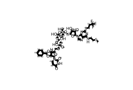 CSCCNc1nc(SCCC(F)(F)F)nc2c1ncn2[C@@H]1O[C@H](COP(=O)(O)OP(=O)(O)OP(=O)(O)OP(=O)(O)OC[C@H]2O[C@@H](n3ccc(=O)[nH]c3=O)[C@@H]3OC(c4ccccc4)O[C@@H]32)[C@@H](O)[C@H]1O